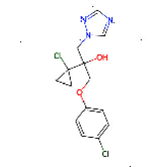 OC(COc1ccc(Cl)cc1)(Cn1cncn1)C1(Cl)CC1